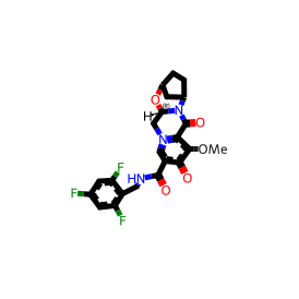 COc1c2n(cc(C(=O)NCc3c(F)cc(F)cc3F)c1=O)C[C@H]1OC3CCC(C3)N1C2=O